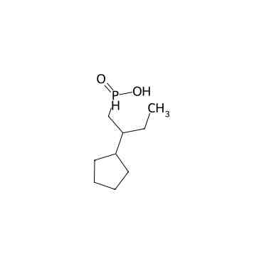 CCC(C[PH](=O)O)C1CCCC1